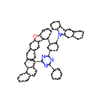 c1ccc(-c2nc(-c3ccc(-n4c5ccccc5c5cc6ccccc6cc54)c(-c4cccc5oc6cc7ccccc7cc6c45)c3)nc(-c3cccc4c3ccc3ccccc34)n2)cc1